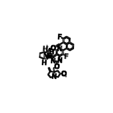 C#Cc1c(F)ccc2cccc(-c3nc4c5c(nc(OCC67CC(OC)CN6CCC7=C)nc5c3F)N3C[C@H]5CC[C@H](N5)[C@H]3[C@H](C)O4)c12